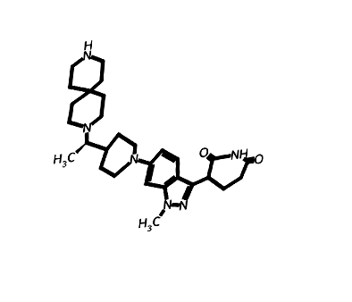 C[C@H](C1CCN(c2ccc3c(C4CCC(=O)NC4=O)nn(C)c3c2)CC1)N1CCC2(CCNCC2)CC1